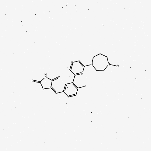 CC(C)N1CCCN(c2cncc(-c3cc(C=C4SC(=O)NC4=O)ccc3F)n2)CC1